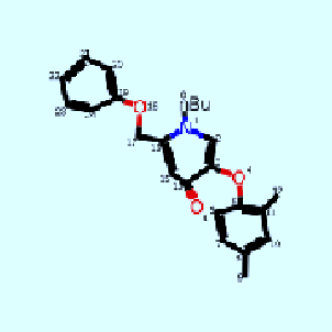 CCCCn1cc(Oc2ccc(C)cc2C)c(=O)cc1COc1ccccc1